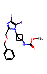 CC(C)(C)OC(=O)NC12CC(n3c(COCc4ccccc4)nc(I)c3I)(C1)C2